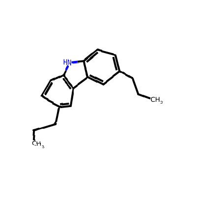 CCCc1ccc2[nH]c3ccc(CCC)cc3c2c1